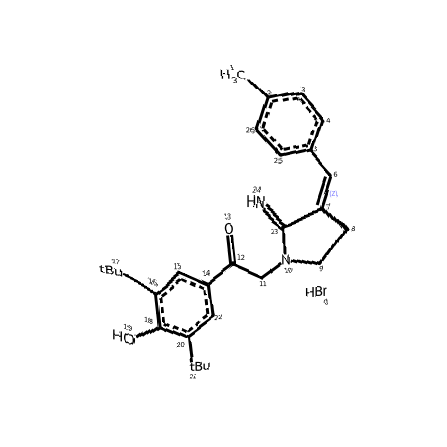 Br.Cc1ccc(/C=C2/CCN(CC(=O)c3cc(C(C)(C)C)c(O)c(C(C)(C)C)c3)C2=N)cc1